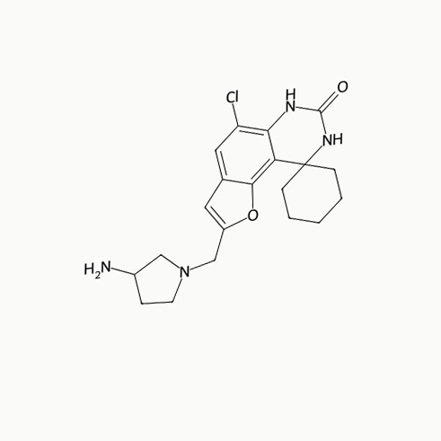 NC1CCN(Cc2cc3cc(Cl)c4c(c3o2)C2(CCCCC2)NC(=O)N4)C1